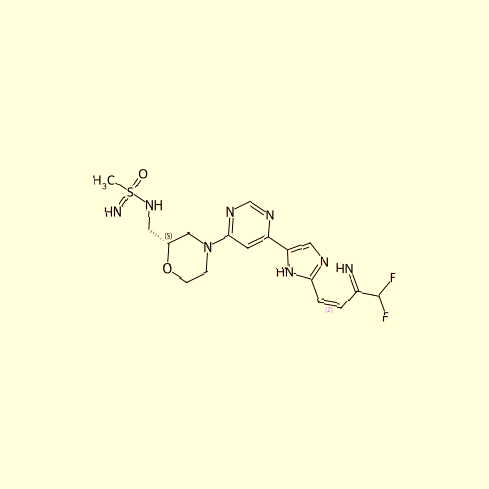 CS(=N)(=O)NC[C@@H]1CN(c2cc(-c3cnc(/C=C\C(=N)C(F)F)[nH]3)ncn2)CCO1